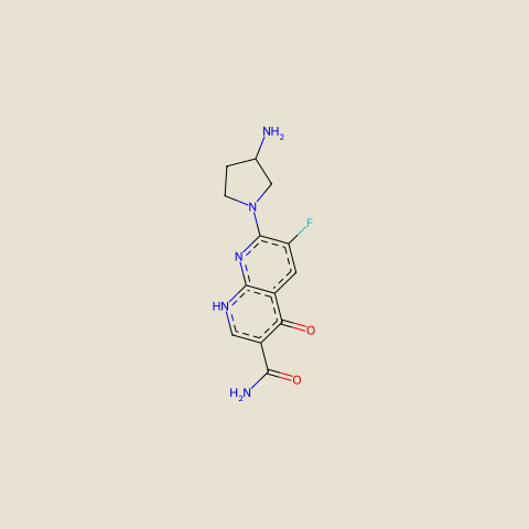 NC(=O)c1c[nH]c2nc(N3CCC(N)C3)c(F)cc2c1=O